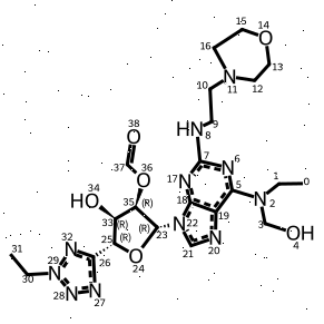 CCN(CO)c1nc(NCCN2CCOCC2)nc2c1ncn2[C@@H]1O[C@H](c2nnn(CC)n2)[C@@H](O)[C@H]1OC=O